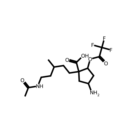 CC(=O)NCCC(C)CCC1(C(=O)O)CC(N)CC1OC(=O)C(F)(F)F